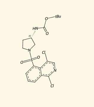 CC(C)(C)OC(=O)N[C@H]1CCN(S(=O)(=O)c2cccc3c(Cl)ncc(Cl)c23)C1